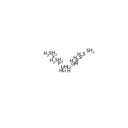 P.S.S.S.S.S.S.S.[LiH].[LiH].[LiH].[LiH]